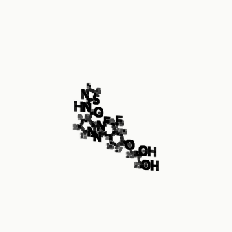 O=C(Nc1nccs1)c1cccn2nc(-c3ccc(OC[C@H](O)CO)cc3C(F)F)nc12